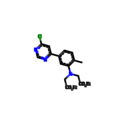 CCOC(=O)CN(CC(=O)OCC)c1cc(-c2cc(Cl)ncn2)ccc1C